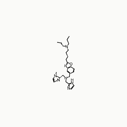 CCCN(CCC)CCCCc1nc2cc(CN(Cc3ncc[nH]3)Cc3nccn3C)ccc2o1